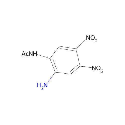 CC(=O)Nc1cc([N+](=O)[O-])c([N+](=O)[O-])cc1N